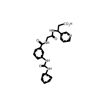 O=C(O)CC(NC(=O)CNC(=O)c1cccc(NC(=O)Nc2ccccc2)c1)c1cccnc1